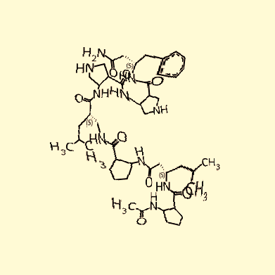 CC(=O)NC1CCCC1C(=O)N[C@H](CC(=O)NC1CCCC1C(=O)NC[C@H](CC(C)C)C(=O)NC1CNCC1C(=O)NC1CNCC1C(=O)N[C@H](CC(N)=O)Cc1ccccc1)CC(C)C